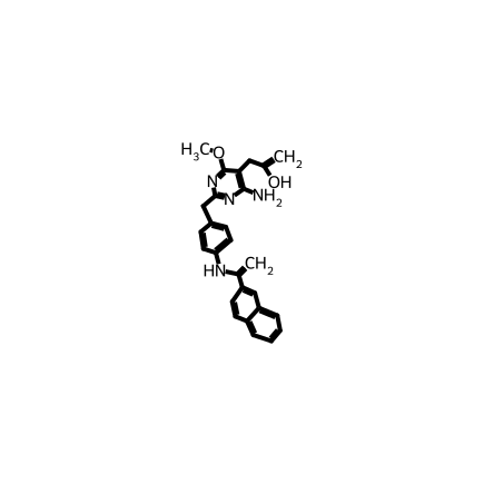 C=C(O)Cc1c(N)nc(Cc2ccc(NC(=C)c3ccc4ccccc4c3)cc2)nc1OC